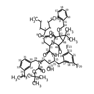 CCCC(CCC)S(=O)(=O)CC(C(=O)N[C@@H](Cc1cc(F)cc(F)c1)[C@H](O)CN(Cc1cccc(CC)c1)C(=O)OC(C)(C)C)N1C(=O)C2C(C)(C)C2(OCc2ccccc2)C1=O